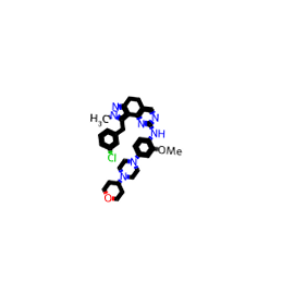 COc1cc(N2CCN(C3CCOCC3)CC2)ccc1Nc1ncc2c(n1)-c1c(nn(C)c1Cc1cccc(Cl)c1)CC2